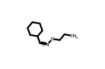 CCCO/N=[C]\C1CCCCC1